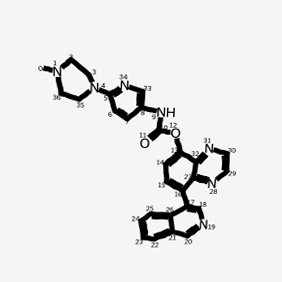 CN1CCN(c2ccc(NC(=O)Oc3ccc(-c4cncc5ccccc45)c4nccnc34)cn2)CC1